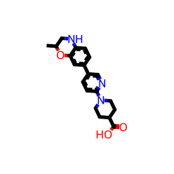 CC1CNc2ccc(-c3ccc(N4CCC(C(=O)O)CC4)nc3)cc2O1